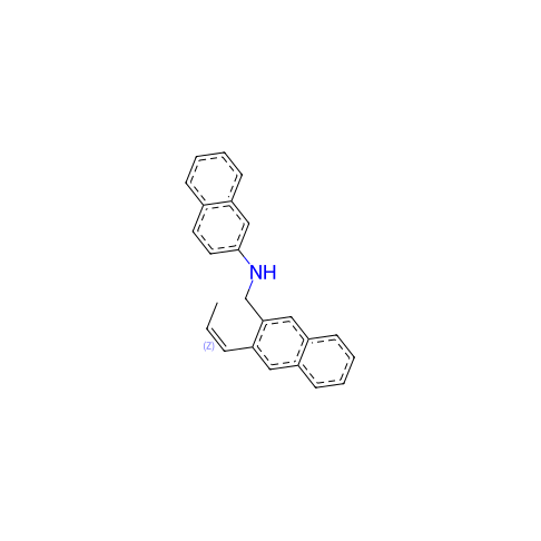 C/C=C\c1cc2ccccc2cc1CNc1ccc2ccccc2c1